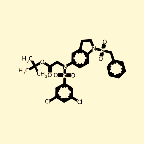 CC(C)(C)OC(=O)CN(c1ccc2c(c1)CCN2S(=O)(=O)Cc1ccccc1)S(=O)(=O)c1cc(Cl)cc(Cl)c1